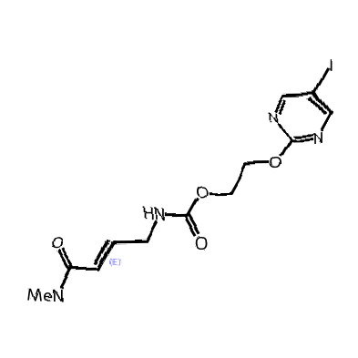 CNC(=O)/C=C/CNC(=O)OCCOc1ncc(I)cn1